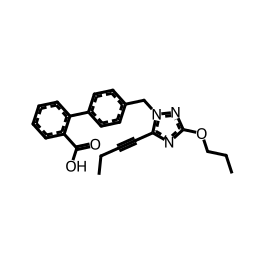 CCC#Cc1nc(OCCC)nn1Cc1ccc(-c2ccccc2C(=O)O)cc1